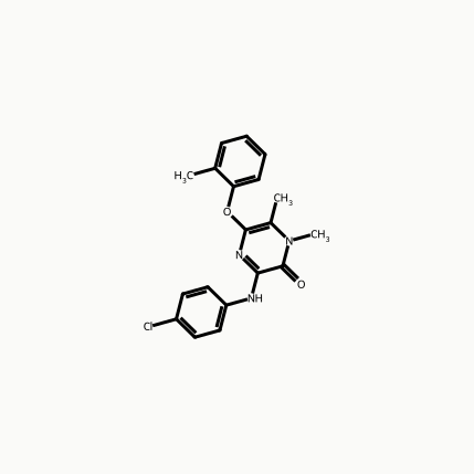 Cc1ccccc1Oc1nc(Nc2ccc(Cl)cc2)c(=O)n(C)c1C